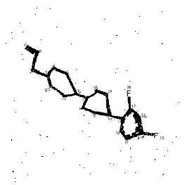 C=CCC1CCC(C2CCC(c3ccc(F)cc3F)CC2)CC1